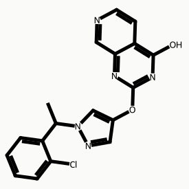 CC(c1ccccc1Cl)n1cc(Oc2nc(O)c3ccncc3n2)cn1